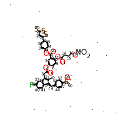 CC1=C(CC(=O)Oc2ccc(OC(=O)CCCO[N+](=O)[O-])c(C(=O)Oc3ccc(-c4cc(=S)ss4)cc3)c2)c2cc(F)ccc2/C1=C/c1ccc([S+](C)[O-])cc1